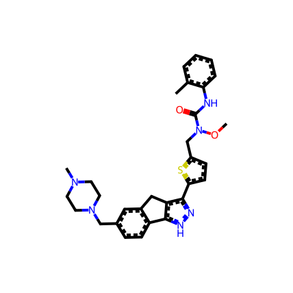 CON(Cc1ccc(-c2n[nH]c3c2Cc2cc(CN4CCN(C)CC4)ccc2-3)s1)C(=O)Nc1ccccc1C